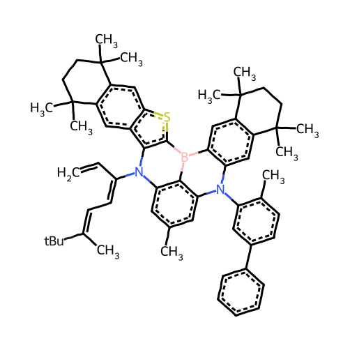 C=C/C(=C\C=C(/C)C(C)(C)C)N1c2cc(C)cc3c2B(c2cc4c(cc2N3c2cc(-c3ccccc3)ccc2C)C(C)(C)CCC4(C)C)c2sc3cc4c(cc3c21)C(C)(C)CCC4(C)C